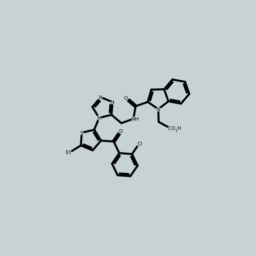 CCc1cc(C(=O)c2ccccc2Cl)c(-n2cnnc2CNC(=O)c2cc3ccccc3n2CC(=O)O)s1